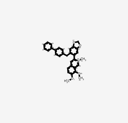 COc1ccc2cc(-c3cc4c(cc3Cc3ccc(-c5ccccc5)cc3)OCO4)[n+](C)cc2c1OC